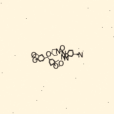 N#Cc1ccc2c(c1)nnn2C(=O)N1CCC(OC(c2ccc3c(c2)COCO3)c2ccc3c(c2)COCO3)CC1